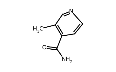 Cc1[c]nccc1C(N)=O